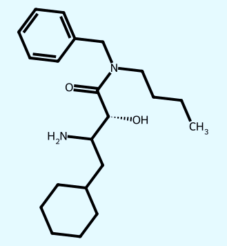 CCCCN(Cc1ccccc1)C(=O)[C@H](O)C(N)CC1CCCCC1